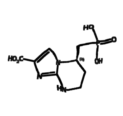 O=C(O)c1cn2c(n1)NCC[C@@H]2CP(=O)(O)O